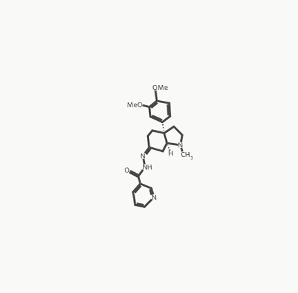 COc1ccc([C@@]23CC/C(=N/NC(=O)c4cccnc4)C[C@@H]2N(C)CC3)cc1OC